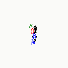 O=C(Cc1cccc(Br)c1)N1CCN(c2ccc3nncn3n2)CC1